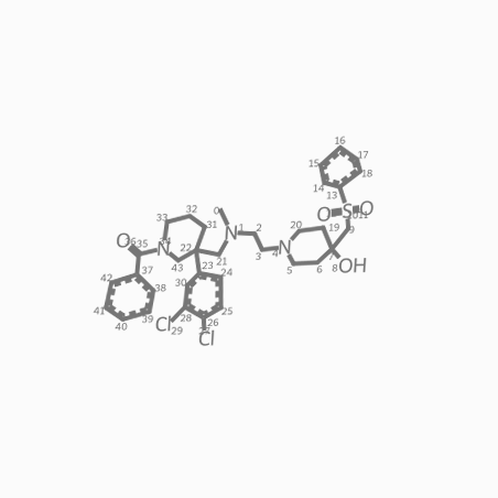 CN(CCN1CCC(O)(CS(=O)(=O)c2ccccc2)CC1)CC1(c2ccc(Cl)c(Cl)c2)CCCN(C(=O)c2ccccc2)C1